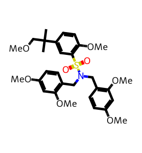 COCC(C)(C)c1ccc(OC)c(S(=O)(=O)N(Cc2ccc(OC)cc2OC)Cc2ccc(OC)cc2OC)c1